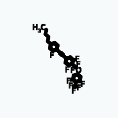 CCCCCc1ccc(C#Cc2cc(F)c(C(F)(F)Oc3cc(F)c(C(F)(F)F)c(F)c3)c(F)c2)c(F)c1